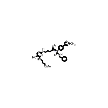 CCCC1/C(=[N+](/C(=O)NCc2ccccc2)c2ccc(-c3cnn(C)c3)cc2)C1CCCNc1ncc(C#N)c(NCCCOC)n1